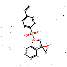 C=Cc1ccc(S(=O)(=O)OCC2(c3ccccc3)CO2)cc1